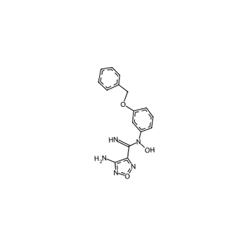 N=C(c1nonc1N)N(O)c1cccc(OCc2ccccc2)c1